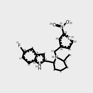 CC1CCCC(c2cc3cc(F)ccc3[nH]2)N1Cc1cccc([N+](=O)[O-])c1